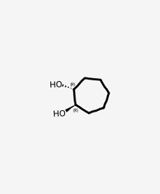 O[C@@H]1CCCCC[C@H]1O